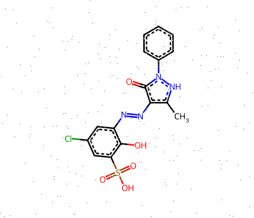 Cc1[nH]n(-c2ccccc2)c(=O)c1N=Nc1cc(Cl)cc(S(=O)(=O)O)c1O